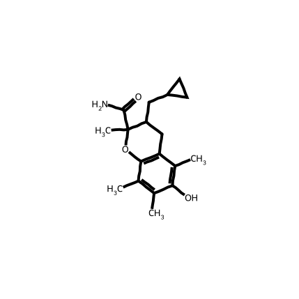 Cc1c(C)c2c(c(C)c1O)CC(CC1CC1)C(C)(C(N)=O)O2